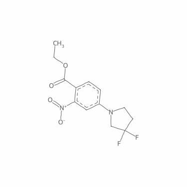 CCOC(=O)c1ccc(N2CCC(F)(F)C2)cc1[N+](=O)[O-]